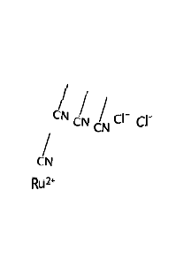 CC#N.CC#N.CC#N.CC#N.[Cl-].[Cl-].[Ru+2]